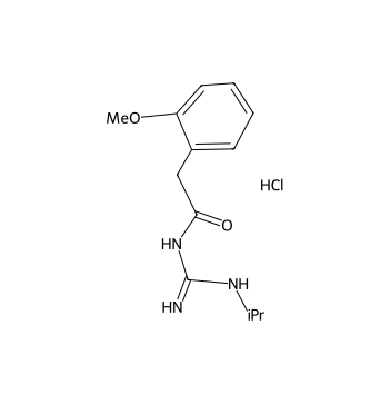 COc1ccccc1CC(=O)NC(=N)NC(C)C.Cl